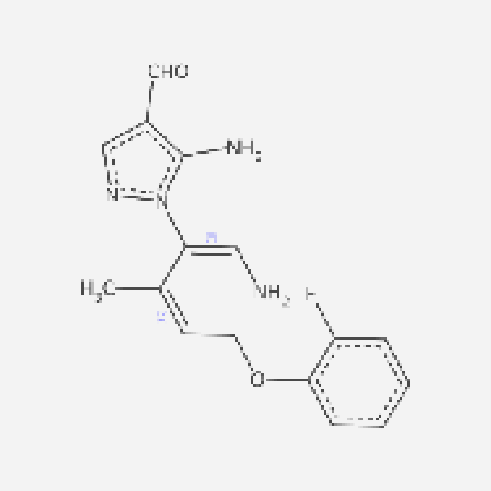 CC(=C/COc1ccccc1F)/C(=C\N)n1ncc(C=O)c1N